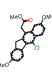 COC(=O)Cc1c2c(c(Cl)c3ccc(OC)cc13)-c1ccc(OC)cc1C2